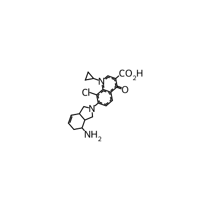 NC1CC=CC2CN(c3ccc4c(=O)c(C(=O)O)cn(C5CC5)c4c3Cl)CC12